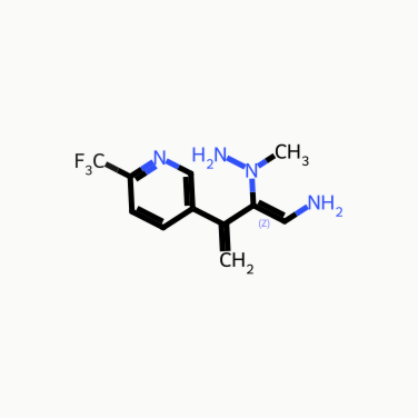 C=C(/C(=C/N)N(C)N)c1ccc(C(F)(F)F)nc1